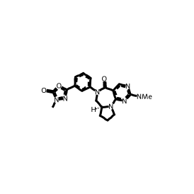 CNc1ncc2c(n1)N1CCC[C@H]1CN(c1cccc(-c3nn(C)c(=O)o3)c1)C2=O